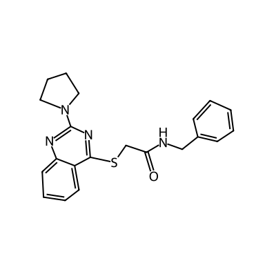 O=C(CSc1nc(N2CCCC2)nc2ccccc12)NCc1ccccc1